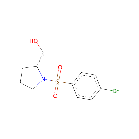 O=S(=O)(c1ccc(Br)cc1)N1CCC[C@@H]1CO